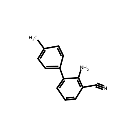 Cc1ccc(-c2cccc(C#N)c2N)cc1